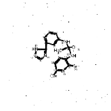 CC(C)(Nc1cccc(-c2ncn[nH]2)c1)Nc1ccc(Cl)nc1Br